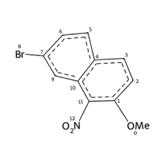 COc1ccc2ccc(Br)cc2c1[N+](=O)[O-]